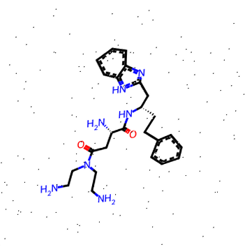 NCCN(CCN)C(=O)C[C@H](N)C(=O)N[C@@H](CCc1ccccc1)Cc1nc2ccccc2[nH]1